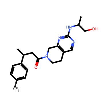 CC(CO)Nc1ncc2c(n1)CN(C(=O)CC(C)c1ccc(C(F)(F)F)cc1)CC2